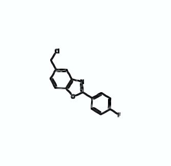 Fc1ccc(-c2nc3cc(CCl)ccc3o2)cc1